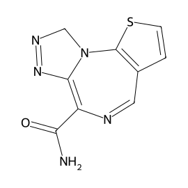 NC(=O)C1=C2N=NCN2c2sccc2C=N1